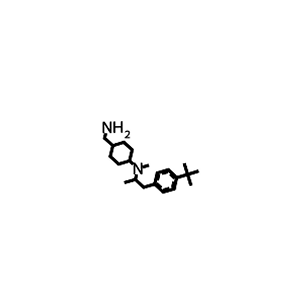 CC(Cc1ccc(C(C)(C)C)cc1)N(C)C1CCC(CN)CC1